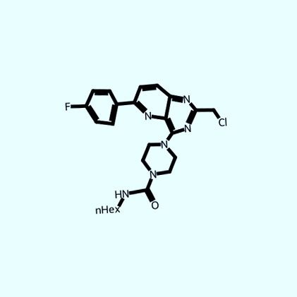 CCCCCCNC(=O)N1CCN(c2nc(CCl)nc3ccc(-c4ccc(F)cc4)nc23)CC1